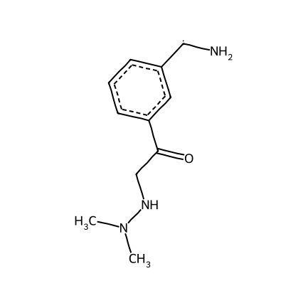 CN(C)NCC(=O)c1cccc([CH]N)c1